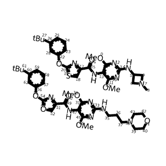 COc1nc(NC2CN(C)C2)nc(OC)c1NC(=O)c1csc(Oc2cccc(C(C)(C)C)c2)n1.COc1nc(NCCCN2CCOCC2)nc(OC)c1NC(=O)c1coc(Oc2cccc(C(C)(C)C)c2)n1